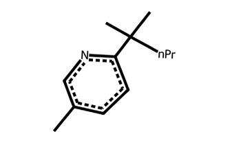 CCCC(C)(C)c1ccc(C)cn1